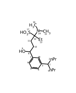 CCCC(CCC)c1cccc(C(O)CCC(CC)(N(C)C)S(=O)(=O)O)c1